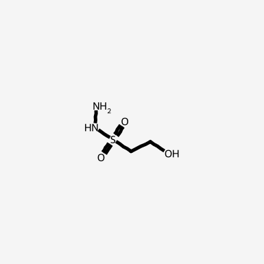 NNS(=O)(=O)CCO